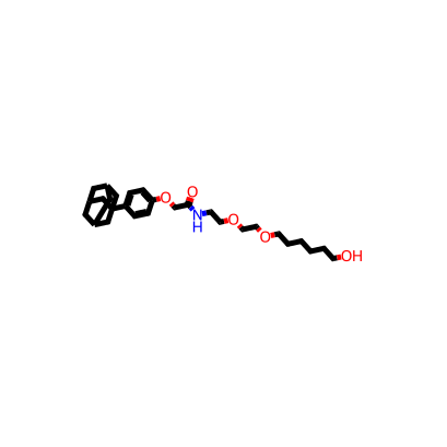 O=C(COc1ccc(C23CC4CC(CC(C4)C2)C3)cc1)NCCOCCOCCCCCCO